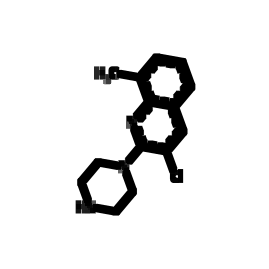 Cc1cccc2cc(Cl)c(N3CCNCC3)nc12